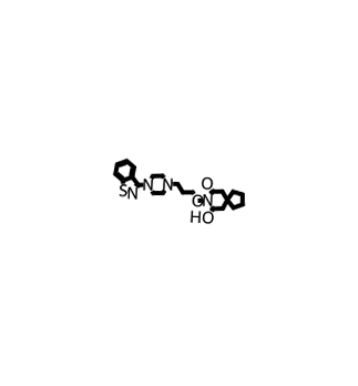 O=C1CC2(CCCC2)CC(O)N1OCCCN1CCN(c2nsc3ccccc23)CC1